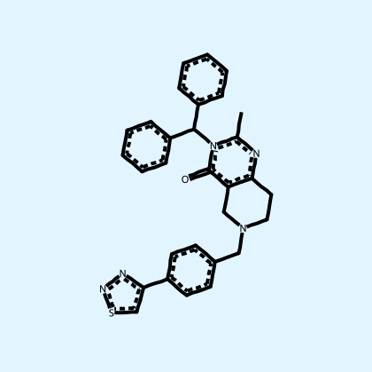 Cc1nc2c(c(=O)n1C(c1ccccc1)c1ccccc1)CN(Cc1ccc(-c3csnn3)cc1)CC2